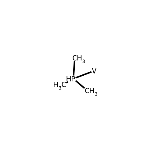 C[PH](C)(C)[V]